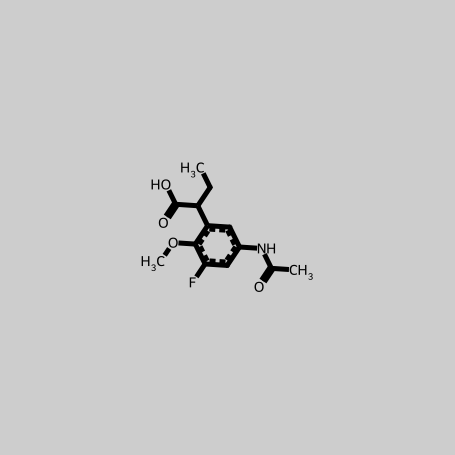 CCC(C(=O)O)c1cc(NC(C)=O)cc(F)c1OC